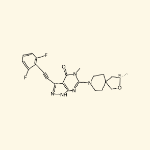 C[C@H]1CC2(CCN(c3nc4[nH]nc(C#Cc5c(F)cccc5F)c4c(=O)n3C)CC2)CO1